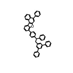 c1ccc(-c2cc(CC(c3ccccc3)c3ccc(-c4cccc5c4oc4cc(-c6ccccc6)c6ccccc6c45)cc3)cc(-c3ccccc3)c2)cc1